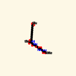 CNOCC(=O)NCCNC(=O)COCCOCCNC(=O)CC[C@H](NC(=O)CCCCCCCCCCCCCCCCC(=O)OC(C)(C)C)C(=O)OC(C)(C)C